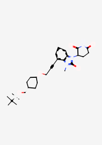 Cn1c(=O)n(C2CCC(=O)NC2=O)c2cccc(C#CCO[C@H]3CC[C@H](CO[Si](C)(C)C(C)(C)C)CC3)c21